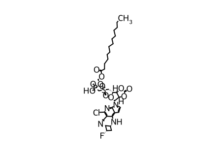 CCCCCCCCCCCCCC(=O)OCOP(=O)(O)CS(=O)(=O)C[C@H]1O[C@@H](n2ccc3c(N[C@H]4C[C@@H](F)C4)c(C#N)c(Cl)nc32)[C@@H]2OC(=O)O[C@@H]21